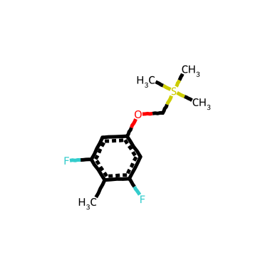 Cc1c(F)cc(OCS(C)(C)C)cc1F